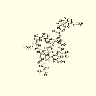 CC[C@H](C)[C@H](NC(=O)[C@H](CCC(=O)O)NC(=O)CNC(=O)CNC(=O)CNC(=O)[C@@H](N)CO)C(=O)N[C@@H](CC(C)C)C(=O)N[C@@H](CC(=O)O)C(=O)N[C@H](C(=O)N1CCC[C@H]1C(=O)N[C@@H](CO)C(=O)N[C@H](C(=O)NCC(=O)NCC(=O)N[C@@H](CO)C(=O)N[C@@H](CO)C(=O)N1CCC[C@H]1C(=O)NCC(=O)O)[C@@H](C)O)C(C)C